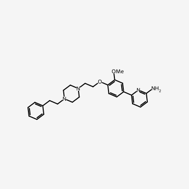 COc1cc(-c2cccc(N)n2)ccc1OCCN1CCN(CCc2ccccc2)CC1